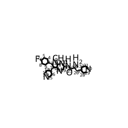 Cn1c(-c2ccc(F)cc2)c(-c2ccncc2)c2ncc(NC(=O)[C@@H](N)Cc3ccncc3)nc21